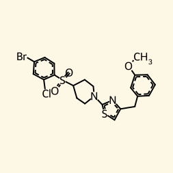 COc1cccc(Cc2csc(N3CCC(S(=O)(=O)c4ccc(Br)cc4Cl)CC3)n2)c1